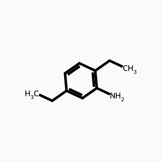 CCc1ccc(CC)c(N)c1